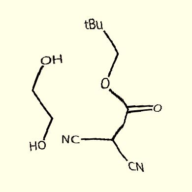 CC(C)(C)COC(=O)C(C#N)C#N.OCCO